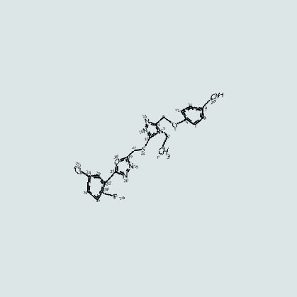 CCn1c(COc2ccc(O)cc2)nnc1SCc1nnc(-c2cc(Cl)ccc2F)o1